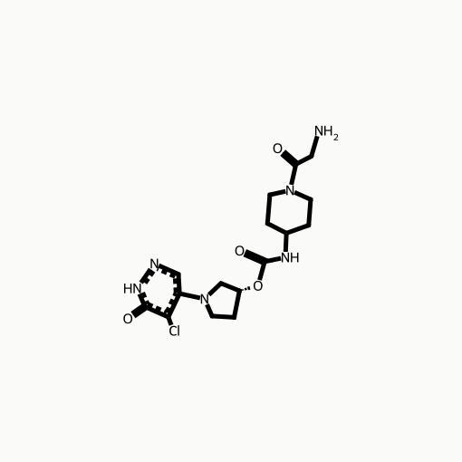 NCC(=O)N1CCC(NC(=O)O[C@@H]2CCN(c3cn[nH]c(=O)c3Cl)C2)CC1